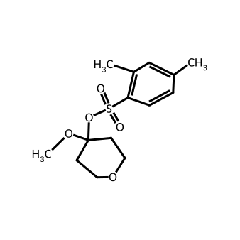 COC1(OS(=O)(=O)c2ccc(C)cc2C)CCOCC1